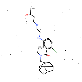 CNC(=O)CCNCCNc1ccc(Cl)c(C(=O)N(CC(=O)O)CC23CC4CC(CC(C4)C2)C3)c1